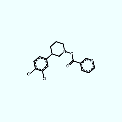 O=C(ON1CCCC(c2ccc(Cl)c(Cl)c2)C1)c1cccnc1